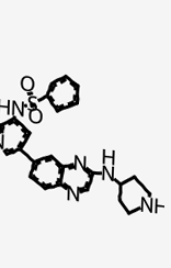 O=S(=O)(Nc1cncc(-c2ccc3ncc(NC4CCNCC4)nc3c2)c1)c1ccccc1